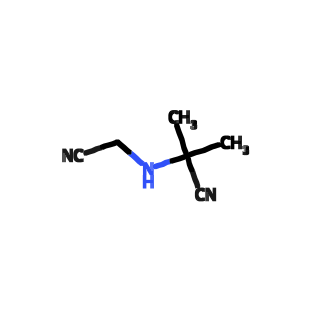 CC(C)(C#N)NCC#N